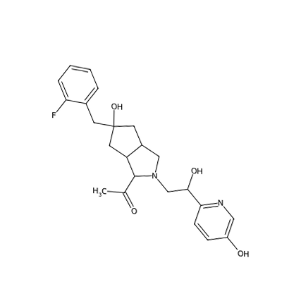 CC(=O)C1C2CC(O)(Cc3ccccc3F)CC2CN1CC(O)c1ccc(O)cn1